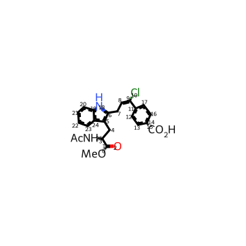 COC(=O)C(Cc1c(C/C=C(/Cl)c2ccc(C(=O)O)cc2)[nH]c2ccccc12)NC(C)=O